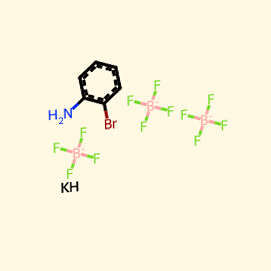 F[B-](F)(F)F.F[B-](F)(F)F.F[B-](F)(F)F.Nc1ccccc1Br.[KH]